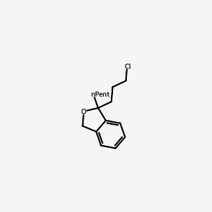 CCCCCC1(CCCCl)OCc2ccccc21